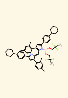 Cc1ccc(C2=CC(c3ccc(C4CCCCC4)cc3)=N/C2=C\c2c(-c3ccc(C)cc3C)cc(-c3ccc(C4CCCCC4)cc3)n2B(OCC(F)(F)C(F)(F)F)OCC(F)(F)C(F)(F)F)c(C)c1